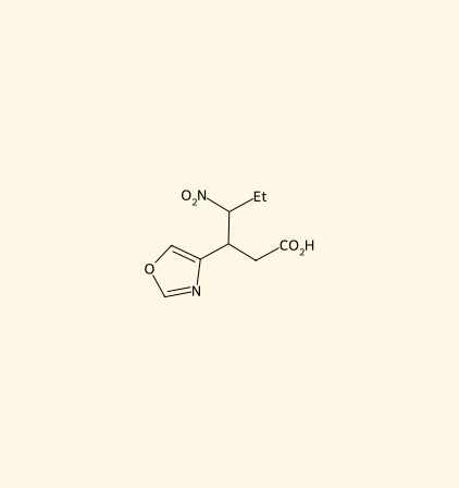 CCC(C(CC(=O)O)c1cocn1)[N+](=O)[O-]